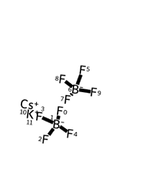 F[B-](F)(F)F.F[B-](F)(F)F.[Cs+].[K+]